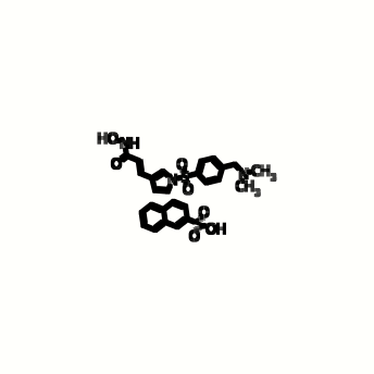 CN(C)Cc1ccc(S(=O)(=O)n2ccc(C=CC(=O)NO)c2)cc1.O=S(=O)(O)c1ccc2ccccc2c1